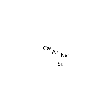 [Al].[Ca].[Na].[Si]